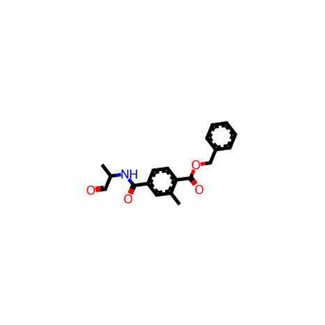 Cc1cc(C(=O)NC(C)C=O)ccc1C(=O)OCc1ccccc1